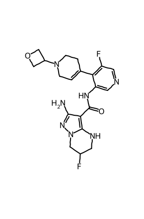 Nc1nn2c(c1C(=O)Nc1cncc(F)c1C1=CCN(C3COC3)CC1)NCC(F)C2